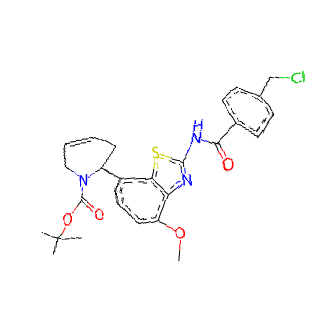 COc1ccc(C2CC=CCN2C(=O)OC(C)(C)C)c2sc(NC(=O)c3ccc(CCl)cc3)nc12